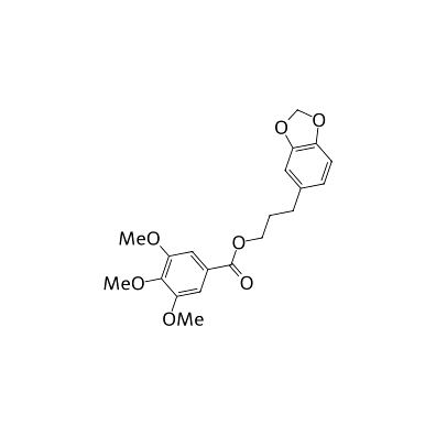 COc1cc(C(=O)OCCCc2ccc3c(c2)OCO3)cc(OC)c1OC